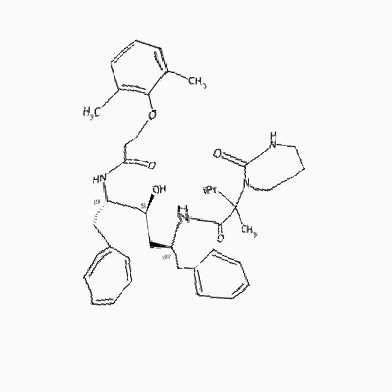 Cc1cccc(C)c1OCC(=O)N[C@@H](Cc1ccccc1)[C@@H](O)C[C@H](Cc1ccccc1)NC(=O)C(C)(C(C)C)N1CCCNC1=O